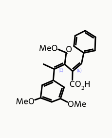 COC(=O)C(/C(=C\c1ccccc1)C(=O)O)=C(\C)c1cc(OC)cc(OC)c1